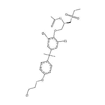 CCS(=O)(=O)C[C@@H](COc1c(Cl)cc(C(C)(C)c2ccc(OCCCCl)cc2)cc1Cl)OC(C)=O